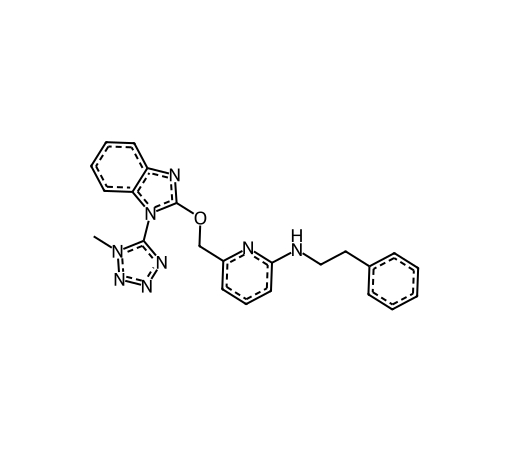 Cn1nnnc1-n1c(OCc2cccc(NCCc3ccccc3)n2)nc2ccccc21